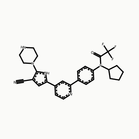 N#Cc1cc(-c2ccnc(-c3ccc(N(C(=O)C(F)(F)F)C4CCCC4)cc3)c2)[nH]c1N1CCNCC1